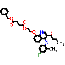 CCCC(=O)c1cnc2c(OCCOC(=O)CCC(=O)OCc3ccccc3)cccc2c1Nc1ccc(F)cc1C